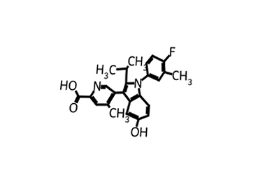 Cc1cc(-n2c(C(C)C)c(-c3cnc(C(=O)O)cc3C)c3cc(O)ccc32)ccc1F